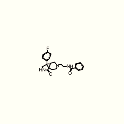 O=C(NCCN1CCC2(CC1)C(=O)NC[C@@H]2c1ccc(F)cc1)c1ccccc1